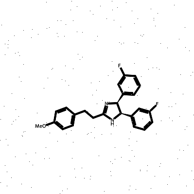 COc1ccc(CCC2=N[C@@H](c3cccc(F)c3)[C@@H](c3cccc(F)c3)N2)cc1